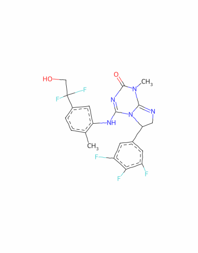 Cc1ccc(C(F)(F)CO)cc1NC1=NC(=O)N(C)C2=NCC(c3cc(F)c(F)c(F)c3)N12